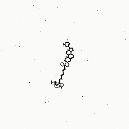 C[C@]12CC[C@H](OC(=O)CCCCCCC(=O)NO)CC1=CCC1C2CC[C@]2(C)C(c3cccnc3)=CCC12